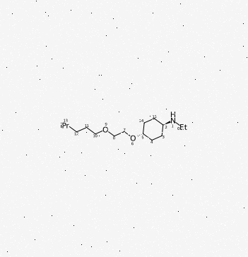 CCN[C@H]1CC[C@H](OCCOCCCC(C)C)CC1